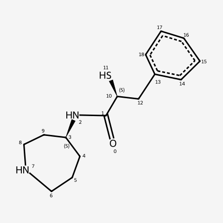 O=C(N[C@H]1CCCNCC1)[C@@H](S)Cc1ccccc1